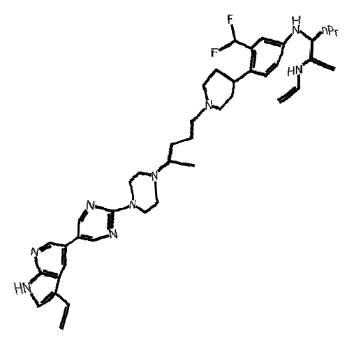 C=CNC(=C)C(CCC)Nc1ccc(C2CCN(CCCC(C)N3CCN(c4ncc(-c5cnc6[nH]cc(C=C)c6c5)cn4)CC3)CC2)c(C(F)F)c1